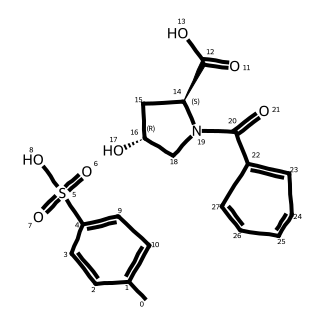 Cc1ccc(S(=O)(=O)O)cc1.O=C(O)[C@@H]1C[C@@H](O)CN1C(=O)c1ccccc1